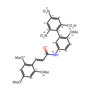 COc1cc(OC)c(C=CC(=O)Nc2ccc(OC)c(-c3c(C(=O)O)cc([N+](=O)[O-])cc3[N+](=O)[O-])c2)c(OC)c1